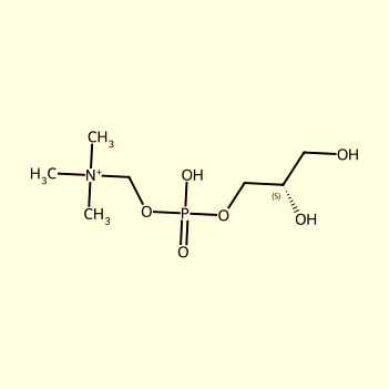 C[N+](C)(C)COP(=O)(O)OC[C@@H](O)CO